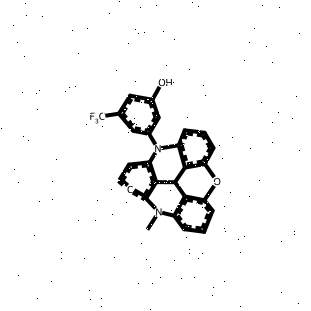 CN1c2cccc3c2C2c4c(cccc4N(c4cc(O)cc(C(F)(F)F)c4)c4cccc1c42)O3